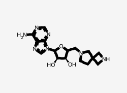 Nc1ncnc2c1ncn2C1OC(CN2CCC3(CNC3)C2)[C@@H](O)[C@H]1O